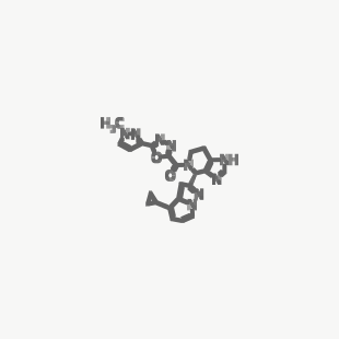 Cn1ccc(-c2nnc(C(=O)N3CCc4[nH]cnc4[C@H]3c3cc4c(C5CC5)cccn4n3)o2)n1